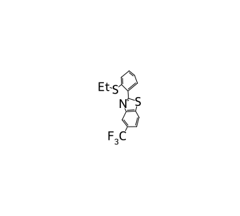 CCSc1ccccc1-c1nc2cc(C(F)(F)F)ccc2s1